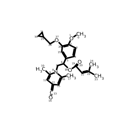 COc1ccc(C(CN2C(C)=CC(=C=O)C=C2C)OC(=O)C=C(C)C)cc1OCC1CC1